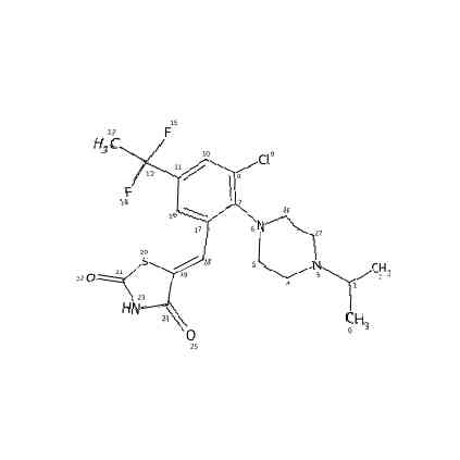 CC(C)N1CCN(c2c(Cl)cc(C(C)(F)F)cc2/C=C2\SC(=O)NC2=O)CC1